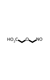 O=NCOCC(=O)O